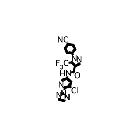 N#Cc1ccc(-n2ncc(C(=O)Nc3cnc(-n4nccn4)c(Cl)c3)c2C(F)(F)F)cc1